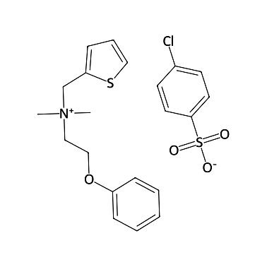 C[N+](C)(CCOc1ccccc1)Cc1cccs1.O=S(=O)([O-])c1ccc(Cl)cc1